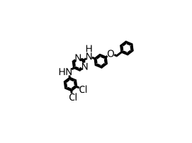 Clc1ccc(Nc2cnc(Nc3cccc(OCc4ccccc4)c3)nc2)cc1Cl